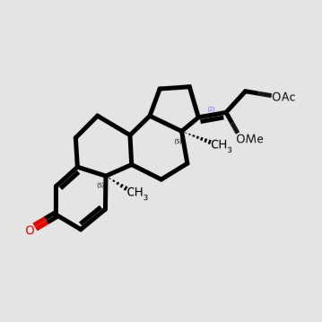 CO/C(COC(C)=O)=C1/CCC2C3CCC4=CC(=O)C=C[C@]4(C)C3CC[C@]12C